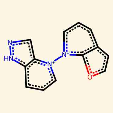 c1cc2[nH]ncc2[n+](-[n+]2cccc3ccoc32)c1